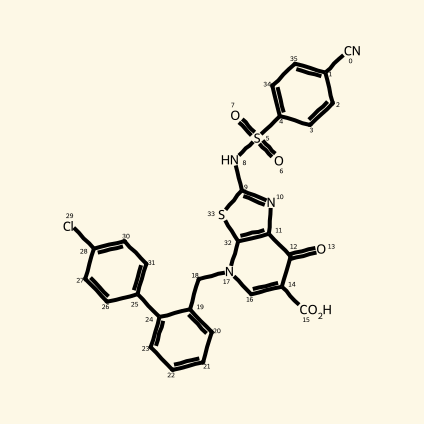 N#Cc1ccc(S(=O)(=O)Nc2nc3c(=O)c(C(=O)O)cn(Cc4ccccc4-c4ccc(Cl)cc4)c3s2)cc1